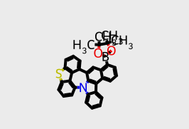 CC1(C)OB(c2cccc3c2cc2c4cccc5sc6cccc(c6c54)n4c5ccccc5c3c24)OC1(C)C